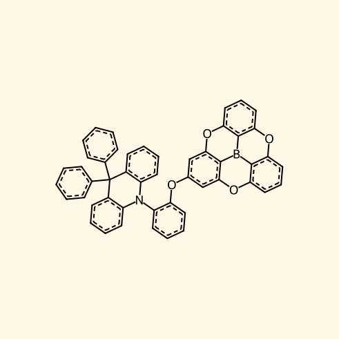 c1ccc(C2(c3ccccc3)c3ccccc3N(c3ccccc3Oc3cc4c5c(c3)Oc3cccc6c3B5c3c(cccc3O4)O6)c3ccccc32)cc1